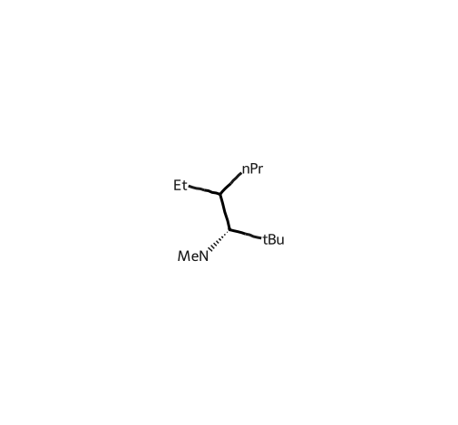 CCCC(CC)[C@@H](NC)C(C)(C)C